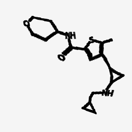 Cc1sc(C(=O)NC2CCOCC2)cc1C1CC1NCC1CC1